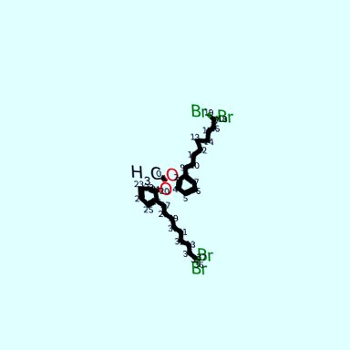 CC(Oc1ccccc1CCCCCCCCC(Br)Br)Oc1ccccc1CCCCCCCCC(Br)Br